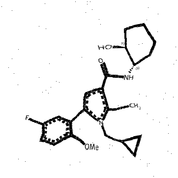 COc1ccc(F)cc1-c1cc(C(=O)N[C@H]2CCCC[C@@H]2O)c(C)n1CC1CC1